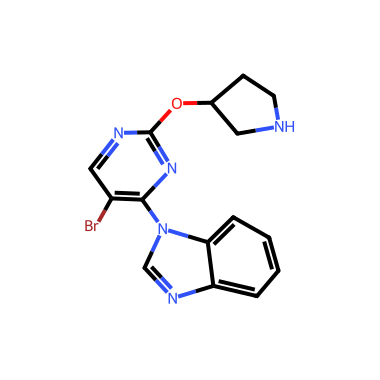 Brc1cnc(OC2CCNC2)nc1-n1cnc2ccccc21